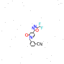 N#Cc1cccc(Cn2ccc(-c3nnc(C(F)F)o3)cc2=O)c1